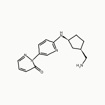 NC[C@@H]1CC[C@H](Nc2ccc(-n3ncccc3=O)cn2)C1